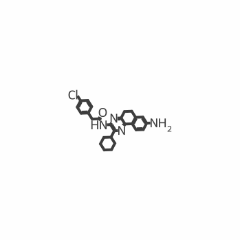 Nc1ccc2c(c1)CCc1nc(NC(=O)Cc3ccc(Cl)cc3)c(C3CCCCC3)nc1-2